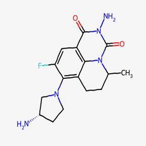 CC1CCc2c(N3CC[C@H](N)C3)c(F)cc3c(=O)n(N)c(=O)n1c23